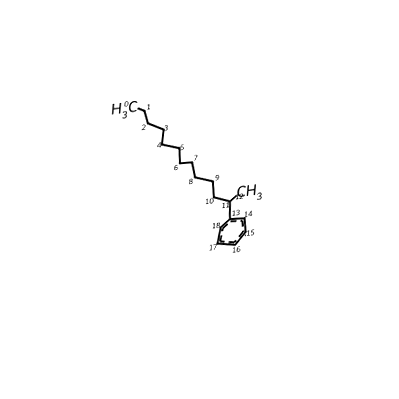 CCCCCCCCCCCC(C)c1c[c]ccc1